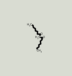 CCCCCCCC(=O)[SiH2]C(=O)CCCCCCC